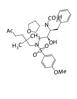 COc1ccc(S(=O)(=O)N(C[C@H](O)[C@H](Cc2ccccc2)N(C(=O)O)[C@H]2CCOC2)CC(C)(C)CCC(C)=O)cc1